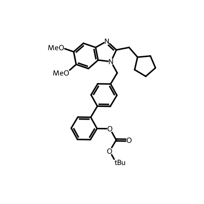 COc1cc2nc(CC3CCCC3)n(Cc3ccc(-c4ccccc4OC(=O)OC(C)(C)C)cc3)c2cc1OC